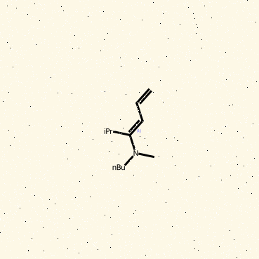 C=C/C=C(\C(C)C)N(C)CCCC